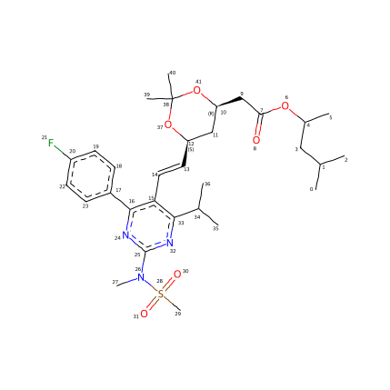 CC(C)CC(C)OC(=O)C[C@H]1C[C@@H](C=Cc2c(-c3ccc(F)cc3)nc(N(C)S(C)(=O)=O)nc2C(C)C)OC(C)(C)O1